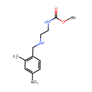 CC(C)(C)OC(=O)NCCNCc1ccc([N+](=O)[O-])cc1C(F)(F)F